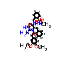 CNS(=O)(=O)c1ccccc1CNC(=O)[C@@H](Cc1ccccc1)N(C(=N)N)C(=O)Cc1ccc(OC)c(OC)c1